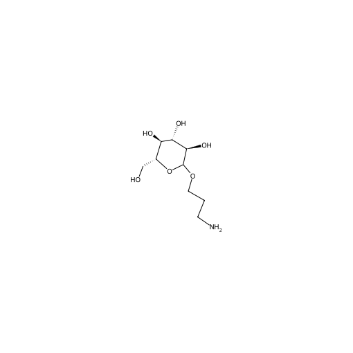 NCCCOC1O[C@H](CO)[C@@H](O)[C@H](O)[C@H]1O